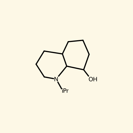 CC(C)N1CCCC2CCCC(O)C21